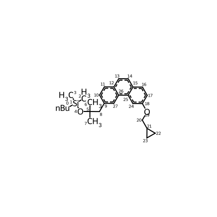 CCCC[Si](C)(C)OC(C)(C)Cc1ccc2ccc3ccc(OCC4CC4)cc3c2c1